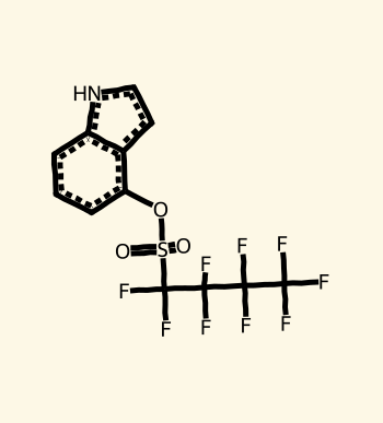 O=S(=O)(Oc1cccc2[nH]ccc12)C(F)(F)C(F)(F)C(F)(F)C(F)(F)F